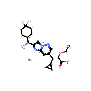 Cl.NC(=O)C(OCC(F)(F)F)[C@@H](c1cnn2cc([C@@H](N)C3CCC(F)(F)CC3)nc2c1)C1CC1